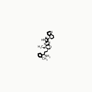 CCN1c2nc3[nH]nc(N4CCCc5ncccc54)c3nc2OC[C@H]1CC[C@H](N)c1ccccc1C